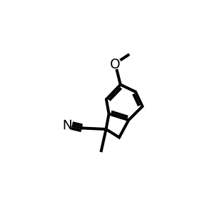 COc1ccc2c(c1)C(C)(C#N)C2